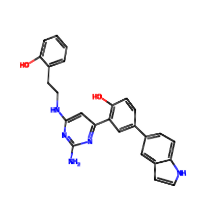 Nc1nc(NCCc2ccccc2O)cc(-c2cc(-c3ccc4[nH]ccc4c3)ccc2O)n1